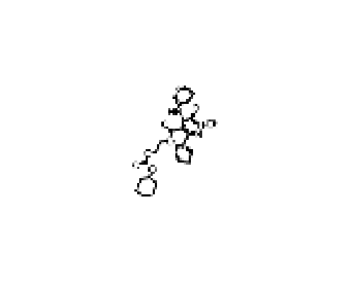 CCn1nc(-c2ccccc2)c(C(=O)OCCOC(=O)OC2CCCCC2)c(Nc2cccnc2)c1=O